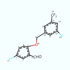 O=Cc1cc(F)ccc1OCc1cc(F)cc(C(F)(F)F)c1